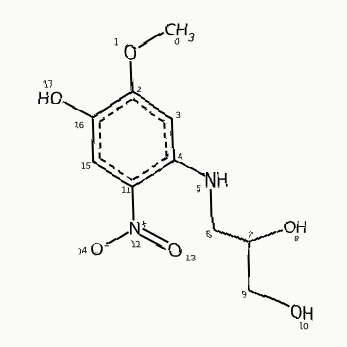 COc1cc(NCC(O)CO)c([N+](=O)[O-])cc1O